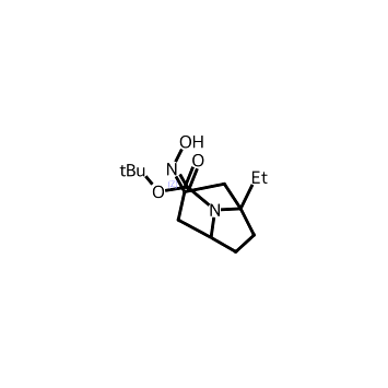 CCC12CCC(C/C(=N/O)C1)N2C(=O)OC(C)(C)C